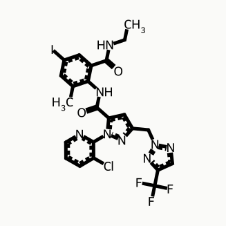 CCNC(=O)c1cc(I)cc(C)c1NC(=O)c1cc(Cn2ncc(C(F)(F)F)n2)nn1-c1ncccc1Cl